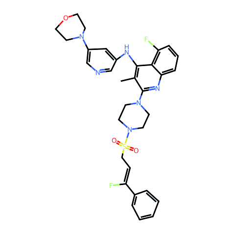 Cc1c(N2CCN(S(=O)(=O)CC=C(F)c3ccccc3)CC2)nc2cccc(F)c2c1Nc1cncc(N2CCOCC2)c1